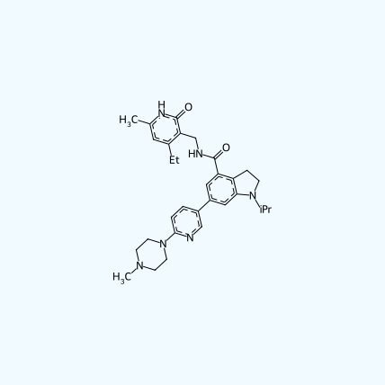 CCc1cc(C)[nH]c(=O)c1CNC(=O)c1cc(-c2ccc(N3CCN(C)CC3)nc2)cc2c1CCN2C(C)C